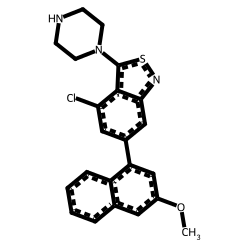 COc1cc(-c2cc(Cl)c3c(N4CCNCC4)snc3c2)c2ccccc2c1